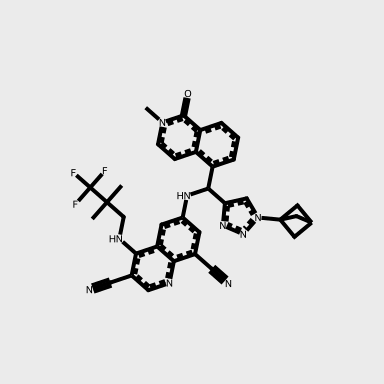 Cn1ccc2c(C(Nc3cc(C#N)c4ncc(C#N)c(NCC(C)(C)C(F)(F)F)c4c3)c3cn(C45CC(C4)C5)nn3)cccc2c1=O